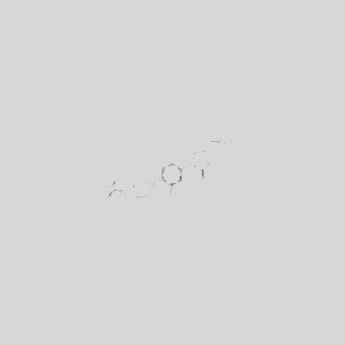 CC(=O)NCC1CN(c2ccc(N3CC4CN(S(C)(=O)=O)C4C3)c(F)c2)C(=O)O1